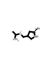 CC(P)OCC1CN[C@H](C(C)C)C1